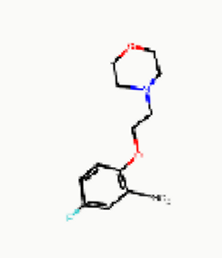 O=[N+]([O-])c1cc(F)ccc1OCCN1CCOCC1